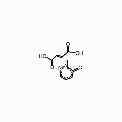 O=C(O)/C=C/C(=O)O.O=c1cccn[nH]1